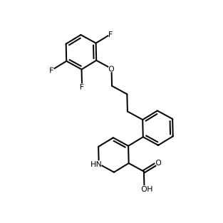 O=C(O)C1CNCC=C1c1ccccc1CCCOc1c(F)ccc(F)c1F